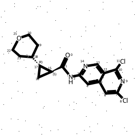 O=C(Nc1cc2cc(Cl)nc(Cl)c2cn1)[C@H]1C[C@@H]1C1CCOCC1